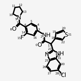 O=C(Nc1ccc(C(=O)N2CCCC2)c(F)c1)C(c1ccsc1)c1nc2ccc(Cl)cc2[nH]1